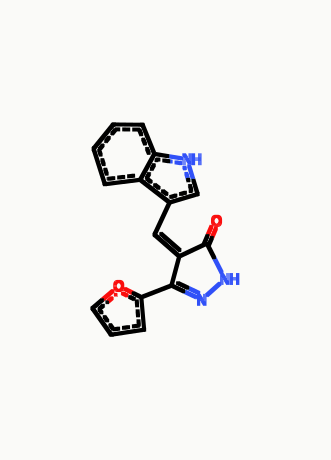 O=C1NN=C(c2ccco2)/C1=C/c1c[nH]c2ccccc12